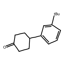 CC(C)(C)c1cccc(C2CCC(=O)CC2)c1